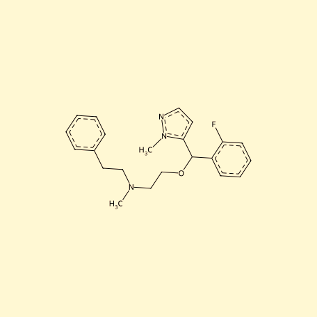 CN(CCOC(c1ccccc1F)c1ccnn1C)CCc1ccccc1